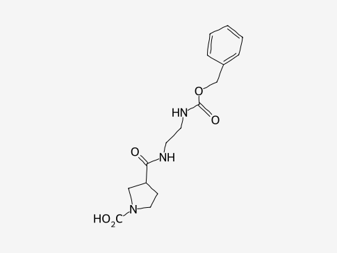 O=C(NCCNC(=O)C1CCN(C(=O)O)C1)OCc1ccccc1